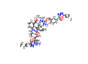 CCCN(Cc1ccc(-c2nnc(C(F)(F)F)o2)cc1)C(=O)N1CCOC(c2cccc(N(Cc3ccc(C4(C)NN=C(C(F)(F)F)O4)cc3)C(O)N(C)CCC)c2)C1